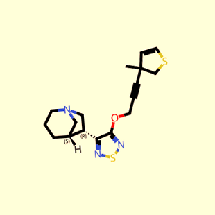 CC1(C#CCOc2nsnc2[C@H]2CN3CCC[C@@H]2C3)C=CSC1